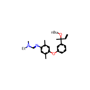 C=CC(C)(OCCCC)c1cccc(Oc2cc(C)c(N=CN(C)CC)cc2C)c1